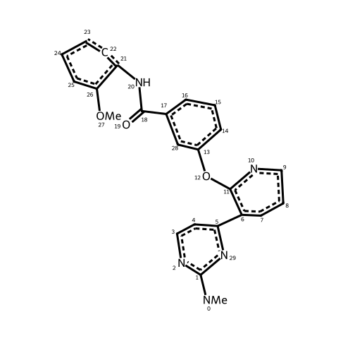 CNc1nccc(-c2cccnc2Oc2cccc(C(=O)Nc3ccccc3OC)c2)n1